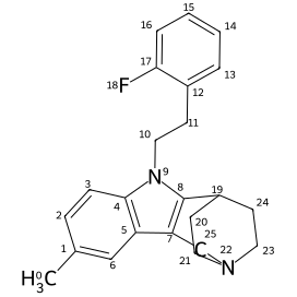 Cc1ccc2c(c1)c1c(n2CCc2ccccc2F)C2CCN(CC2)C1